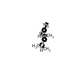 COc1ccc(N2C[C@@H](C)N[C@@H](C)C2)cc1NS(=O)(=O)c1ccc(-c2nccs2)cc1